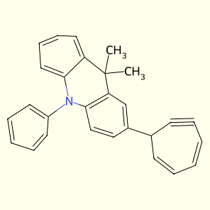 CC1(C)c2ccccc2N(c2ccccc2)c2ccc(C3C#CC=CC=C3)cc21